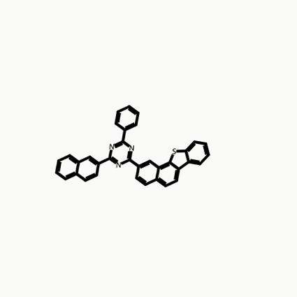 c1ccc(-c2nc(-c3ccc4ccccc4c3)nc(-c3ccc4ccc5c6ccccc6sc5c4c3)n2)cc1